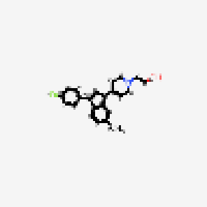 Cc1ccc2c(c1)C(C1=CCN(CCO)CC1)C=C2c1ccc(F)cc1